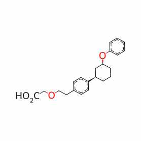 O=C(O)COCCc1ccc([C@@H]2CCC[C@H](Oc3ccccc3)C2)cc1